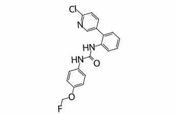 O=C(Nc1ccc(OCF)cc1)Nc1ccccc1-c1ccc(Cl)nc1